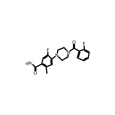 CCCC(=O)c1cc(F)c(N2CCN(C(=O)c3ccccc3F)CC2)cc1C